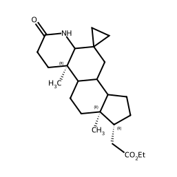 CCOC(=O)C[C@H]1CCC2C3CC4(CC4)C4NC(=O)CC[C@]4(C)C3CC[C@@]21C